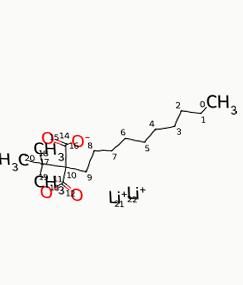 CCCCCCCCCCC(C(=O)[O-])(C(=O)[O-])C(C)(C)C.[Li+].[Li+]